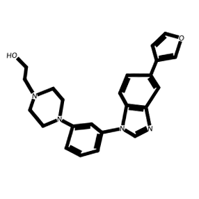 OCCN1CCN(c2cccc(-n3cnc4cc(-c5ccoc5)ccc43)c2)CC1